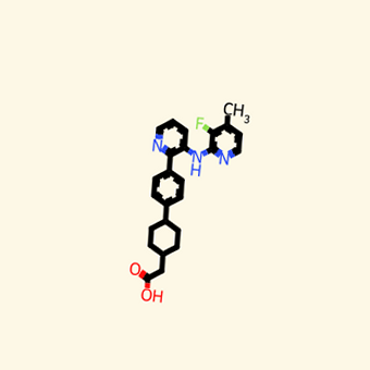 Cc1ccnc(Nc2cccnc2-c2ccc(C3CCC(CC(=O)O)CC3)cc2)c1F